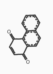 O=C1C=CC(=O)c2c1ccc1ccccc21